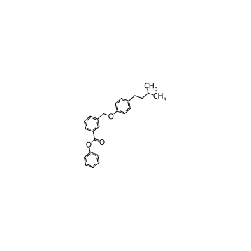 CC(C)CCc1ccc(OCc2cccc(C(=O)Oc3ccccc3)c2)cc1